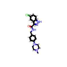 CN1CCN(c2ccc(CNC(=O)c3n[nH]c4ccc(Cl)cc34)cc2)CC1